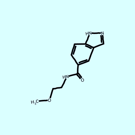 COCCNC(=O)c1ccc2[nH]ncc2c1